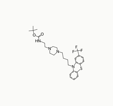 CC(C)(C)OC(=O)NCCN1CCN(CCCCN2c3ccccc3Sc3ccc(C(F)(F)F)cc32)CC1